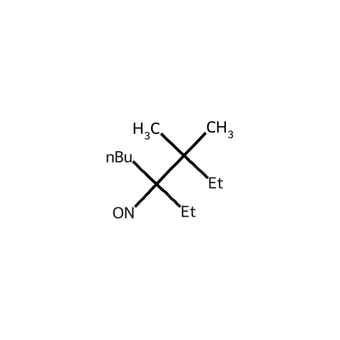 CCCCC(CC)(N=O)C(C)(C)CC